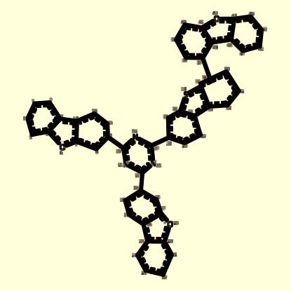 c1ccc2c(c1)oc1cc(-c3nc(-c4ccc5c(c4)oc4ccccc45)nc(-c4ccc5c(c4)sc4c(-c6cccc7oc8ccccc8c67)cccc45)n3)ccc12